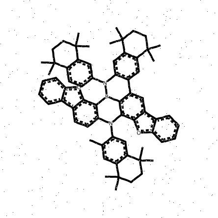 Cc1cc2c(cc1N1c3ccc4c(oc5ccccc54)c3B3c4c(cc5c(oc6ccccc65)c41)-c1cc4c(cc1N3c1ccc3c(c1)C(C)(C)CCC3(C)C)C(C)(C)CCC4(C)C)C(C)(C)CCC2(C)C